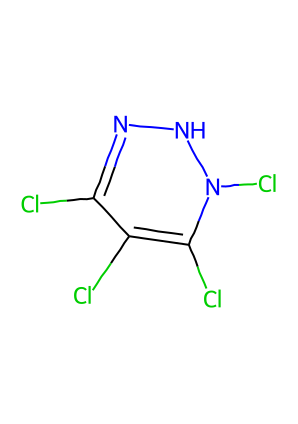 ClC1=NNN(Cl)C(Cl)=C1Cl